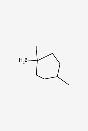 BC1(I)CCC(C)CC1